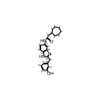 O=C(CC1CCCCCC1)Nc1ccc2[nH]c(Cc3cccc(O)c3)nc2c1